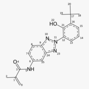 C=C(C)C(=O)Nc1ccc2nn(-c3cccc(C(C)(C)C)c3O)nc2c1